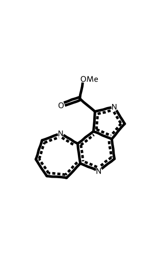 COC(=O)c1ncc2cnc3ccccnc3c12